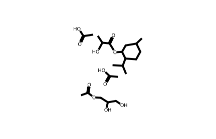 CC(=O)O.CC(=O)O.CC(=O)OCC(O)CO.CC1CCC(C(C)C)C(OC(=O)C(C)O)C1